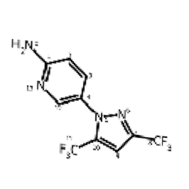 Nc1ccc(-n2nc(C(F)(F)F)cc2C(F)(F)F)cn1